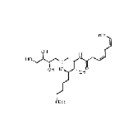 CCC/C=C\C/C=C\CC(=O)N[C@@H](COC[C@@H](O)C(O)CO)[C@H](O)[C@H](O)CCCCCCCCCCCCCC